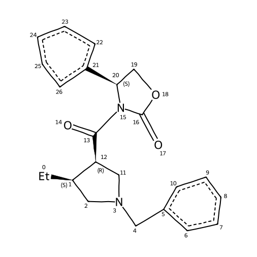 CC[C@@H]1CN(Cc2ccccc2)C[C@@H]1C(=O)N1C(=O)OC[C@@H]1c1ccccc1